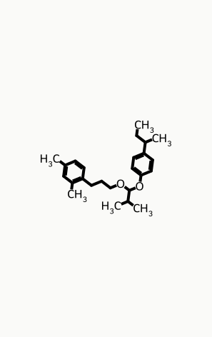 CCC(C)c1ccc(OC(OCCCc2ccc(C)cc2C)C(C)C)cc1